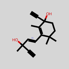 C#CC(C)(O)/C=C/C1=C(C)C(O)(C#C)CCC1(C)C